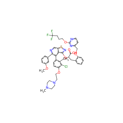 COc1cccc(-c2ncc3snc(OC(Cc4ccccc4OCc4ccnc(OCCCC(F)(F)F)n4)C(=O)O)c3c2-c2ccc(OCCN3CCN(C)CC3)c(Cl)c2C)c1